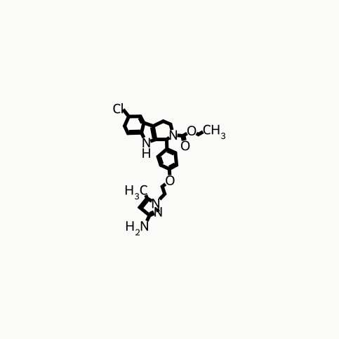 CCOC(=O)N1CCc2c([nH]c3c2=CC(Cl)CC=3)C1c1ccc(OCCn2nc(N)cc2C)cc1